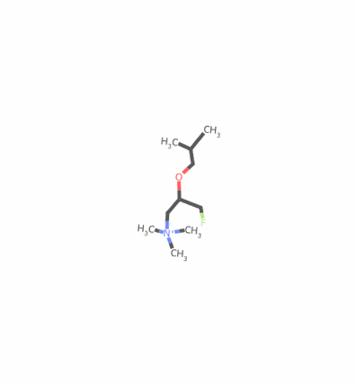 CC(C)COC(CF)C[N+](C)(C)C